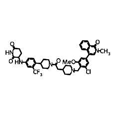 COc1cc(-c2cn(C)c(=O)c3ccccc23)cc(Cl)c1CN1CCC(CC(=O)N2CCC(c3ccc(NC4CCC(=O)NC4=O)cc3C(F)(F)F)CC2)CC1